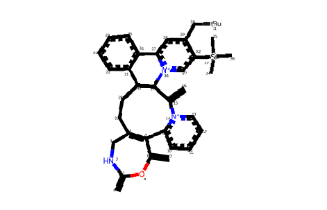 C=C1NCC2=C(C(=C)O1)c1cccc[n+]1C(=C)C1C(CC2)c2ccccc2-c2cc(CC(C)(C)C)c([Si](C)(C)C)c[n+]21